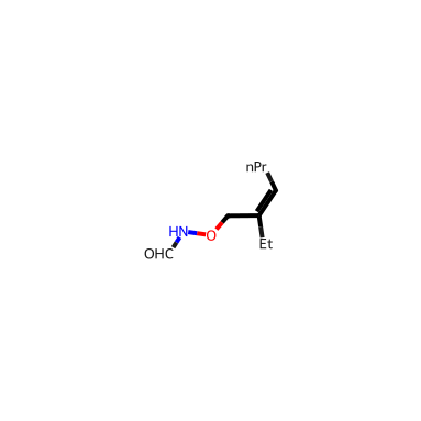 CCCC=C(CC)CONC=O